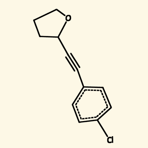 Clc1ccc(C#CC2CCCO2)cc1